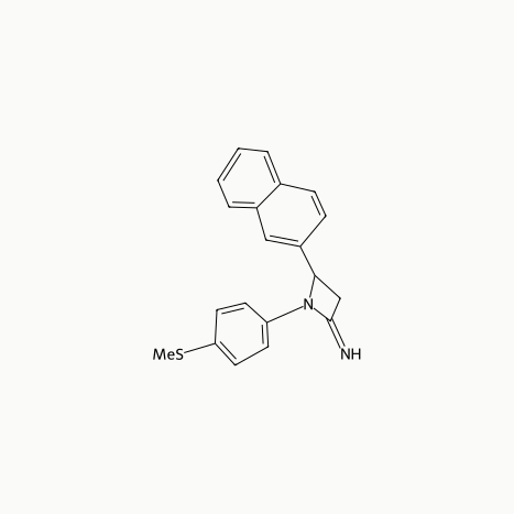 CSc1ccc(N2C(=N)CC2c2ccc3ccccc3c2)cc1